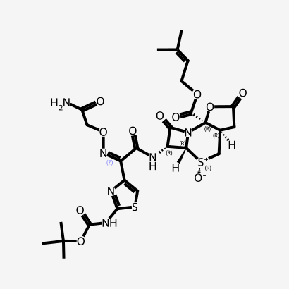 CC(C)=CCOC(=O)[C@]12OC(=O)C[C@H]1C[S@+]([O-])[C@@H]1[C@H](NC(=O)/C(=N\OCC(N)=O)c3csc(NC(=O)OC(C)(C)C)n3)C(=O)N12